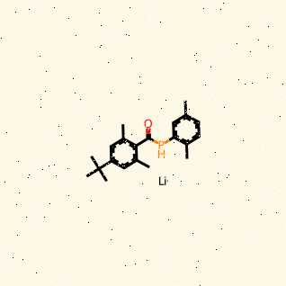 Cc1ccc(C)c(PC(=O)c2c(C)cc(C(C)(C)C)cc2C)c1.[Li]